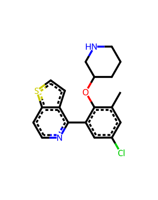 Cc1cc(Cl)cc(-c2nccc3sccc23)c1OC1CCCNC1